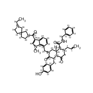 C=CCN1CC(=O)N2[C@@H](Cc3ccc(O)cc3)C(=O)N(Cc3cccc4c(C(=O)N5CCC6(CCN(CC)C6)C5)cn(C)c34)C[C@@H]2N1C(=O)NCc1ccccc1